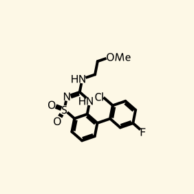 COCCNC1=NS(=O)(=O)c2cccc(-c3cc(F)ccc3Cl)c2N1